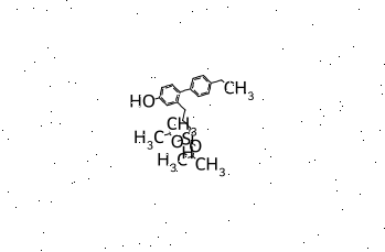 CCc1ccc(-c2ccc(O)cc2CCC[SiH](OC(C)C)OC(C)C)cc1